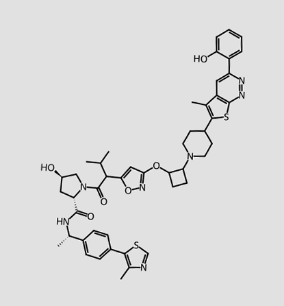 Cc1ncsc1-c1ccc([C@H](C)NC(=O)[C@@H]2C[C@@H](O)CN2C(=O)C(c2cc(OC3CCC3N3CCC(c4sc5nnc(-c6ccccc6O)cc5c4C)CC3)no2)C(C)C)cc1